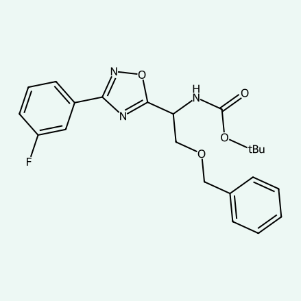 CC(C)(C)OC(=O)NC(COCc1ccccc1)c1nc(-c2cccc(F)c2)no1